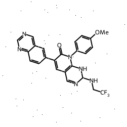 COc1ccc(-n2c3c(cc(-c4ccc5ncncc5c4)c2=O)C=NC(NCC(F)(F)F)N3)cc1